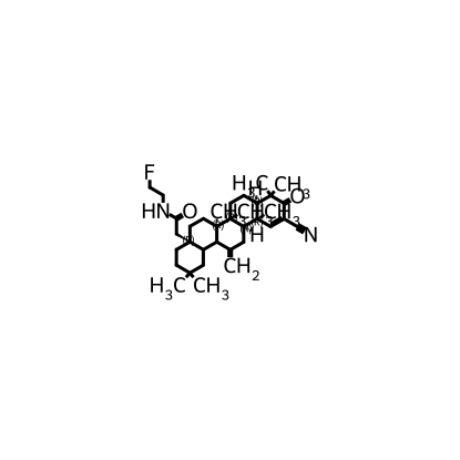 C=C1C[C@@H]2[C@@]3(C)C=C(C#N)C(=O)C(C)(C)[C@@H]3CC[C@@]2(C)[C@]2(C)CC[C@@]3(CC(=O)NCCF)CCC(C)(C)CC3C12